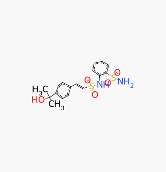 CC(C)(O)c1ccc(/C=C/S(=O)(=O)Nc2ccccc2S(N)(=O)=O)cc1